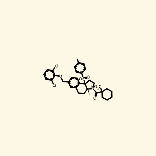 O=C(O)C1(C(=O)N2CC[C@@]3(S(=O)(=O)c4ccc(F)cc4)c4ccc(COc5c(Cl)cccc5Cl)cc4CC[C@@H]23)CCCCC1